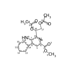 COC(=O)c1cc2c([nH]c3ccccc32)c(C(COC(C)=O)OC(C)=O)n1